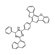 c1ccc(C2N=C(c3cccc4ccccc34)N=C(c3ccc(-c4cc5c6ccccc6oc5c5c4sc4ccccc45)cc3)N2)cc1